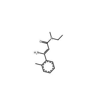 CCN(C)C(=O)C=C(N)c1ccccc1C